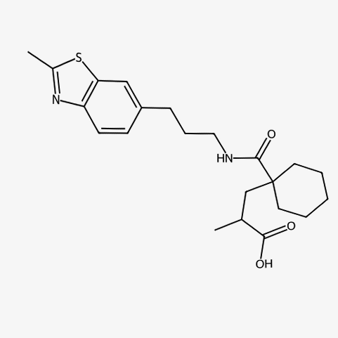 Cc1nc2ccc(CCCNC(=O)C3(CC(C)C(=O)O)CCCCC3)cc2s1